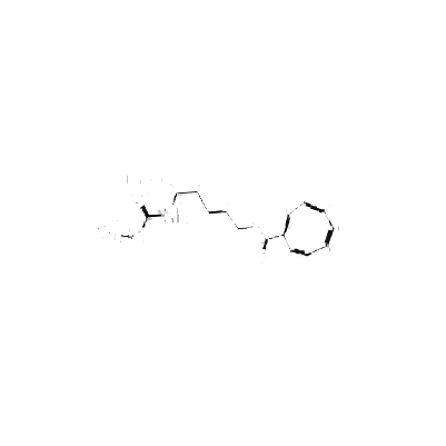 CC(C)(C)OC(=O)N[C@@H](CCCCNC(=O)C1=C/C=C\C=C/C=C\1)C(=O)O